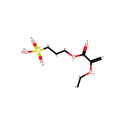 C=C(OCC)C(=O)OCCCS(=O)(=O)O